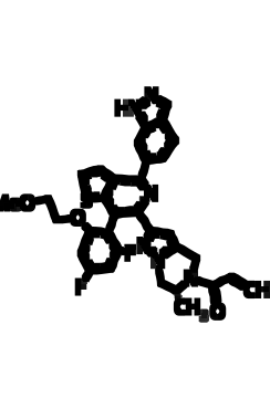 C=CC(=O)N1Cc2cc(-c3nc(-c4ccc5cn[nH]c5c4)c4ccsc4c3-c3c(F)cc(F)cc3OCCOC)nn2C[C@H]1C